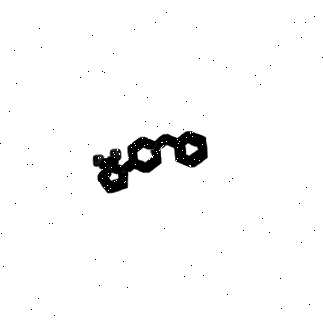 O=S1(=O)CC=CN1C1CCN(Cc2ccccc2)CC1